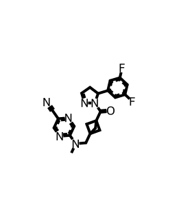 CN(CC12CC(C(=O)N3N=CCC3c3cc(F)cc(F)c3)(C1)C2)c1cnc(C#N)cn1